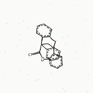 O=C1Oc2ccccc2C2CC13c1ccccc1C2c1ccccc13